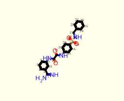 N=C(N)c1cccc(NC(=O)C(=O)Nc2ccc(S(=O)(=O)NCc3ccccc3)cc2)c1